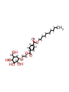 CCCCCCCCCCOC(=O)c1ccc(C(=O)OCCO[C@H]2CC(CO)[C@@H](O)C(O)C2O)cc1